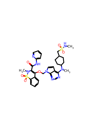 CNS(=O)(=O)CC1CCC(N(C)c2ncnc3c2ccn3COC2=C(C(=O)Nc3ccccn3)N(C)S(=O)(=O)c3ccccc32)CC1